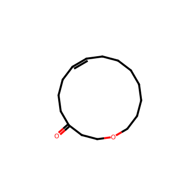 O=C1CCC/C=C\CCCCCCCOCC1